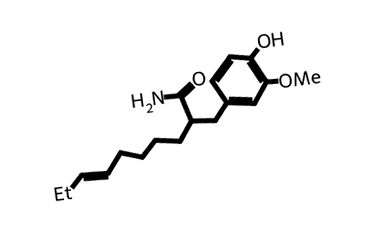 CCC=CCCCCC(Cc1ccc(O)c(OC)c1)C(N)=O